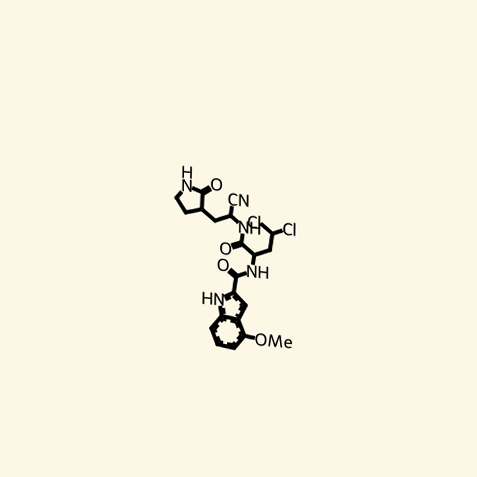 COc1cccc2[nH]c(C(=O)NC(CC(Cl)Cl)C(=O)NC(C#N)CC3CCNC3=O)cc12